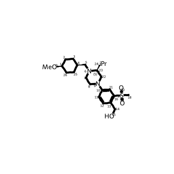 CO[C@H]1CC[C@@H](CN2CCN(c3ccc(CO)c(S(C)(=O)=O)c3)C[C@@H]2C(C)C)CC1